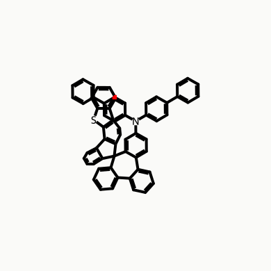 c1ccc(-c2ccc(N(c3ccc(-c4ccccc4)cc3)c3ccc4c(c3)C3(c5ccccc5-c5ccccc5-4)c4ccccc4-c4c3ccc3c4sc4ccccc43)cc2)cc1